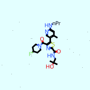 CCCNc1cc(C)c(-c2sc(C(=O)NCC(C)(C)O)nc2C(=O)N2CCC(F)CC2)cn1